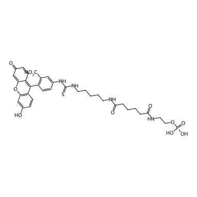 O=C(CCCCC(=O)NCCOP(=O)(O)O)NCCCCCNC(=S)Nc1ccc(-c2c3ccc(=O)cc-3oc3cc(O)ccc23)c(C(=O)O)c1